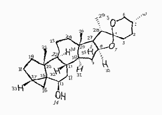 C[C@@H]1CC[C@@]2(OC1)O[C@H]1C[C@H]3[C@@H]4C[C@@H](O)C56C[C@@H]5CC[C@]6(C)[C@H]4CC[C@]3(C)[C@H]1[C@@H]2C